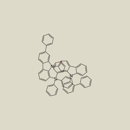 c1ccc(-c2ccc3c4cccc([Si](c5ccccc5)(c5ccccc5)c5ccccc5)c4n(-c4ccc5c6ccccc6n(-c6ccccc6-c6ccccc6)c5c4)c3c2)cc1